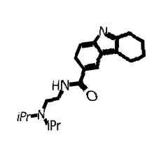 CC(C)N(CCNC(=O)C1=CC2=C3CCCCC3=NC2=CC1)C(C)C